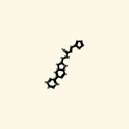 O=C(C=Cc1cccs1)NCC1Cc2cc(-c3cnccn3)ccc2O1